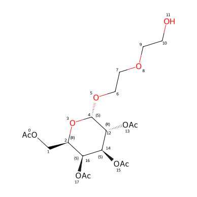 CC(=O)OC[C@H]1O[C@H](OCCOCCO)[C@H](OC(C)=O)[C@@H](OC(C)=O)[C@H]1OC(C)=O